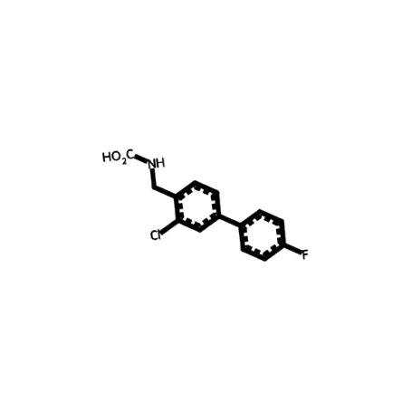 O=C(O)NCc1ccc(-c2ccc(F)cc2)cc1Cl